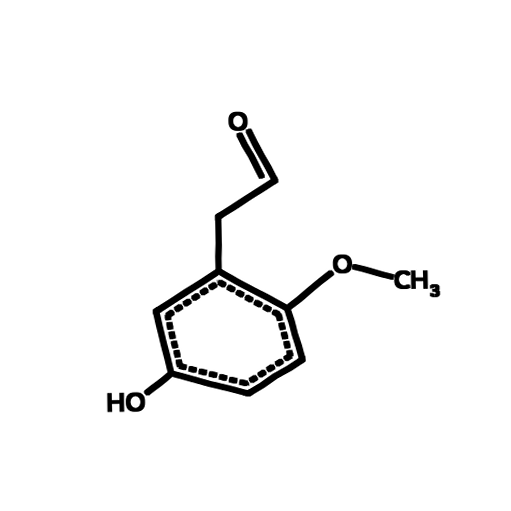 COc1ccc(O)cc1CC=O